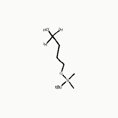 [2H]C([2H])(O)CCCO[Si](C)(C)C(C)(C)C